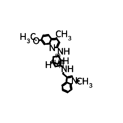 COc1ccc2c(C)cc(N[C@H]3C[C@@H]4C[C@H]3[C@@H](NCc3cn(C)c5ccccc35)C4)nc2c1